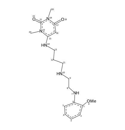 COc1ccccc1NCCNCCCNc1cc(=O)n(C)c(=O)n1C